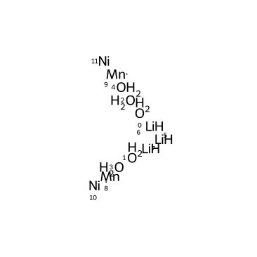 O.O.O.O.O.[LiH].[LiH].[LiH].[Mn].[Mn].[Ni].[Ni]